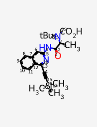 CC(C(=O)Nc1cc2ccccc2c(C#C[Si](C)(C)C)n1)N(C(=O)O)C(C)(C)C